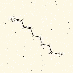 C=CC=CCCCCOCCCC